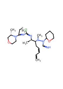 C=C/C=C\CC([C@@H](C)/N=C(Cl)\N=C(/CC)N1CCOC[C@@H]1C)N(C)N(C=N)C1CCCCO1